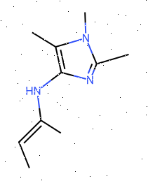 C/C=C(\C)Nc1nc(C)n(C)c1C